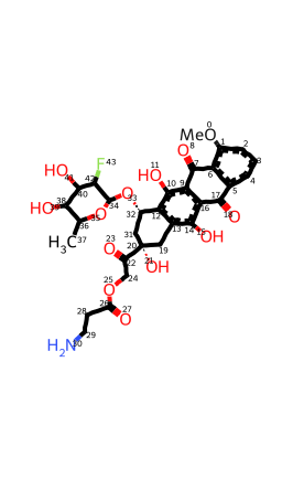 COc1cccc2c1C(=O)c1c(O)c3c(c(O)c1C2=O)C[C@@](O)(C(=O)COC(=O)CCN)C[C@@H]3OC1OC(C)C(O)C(O)C1F